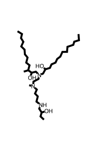 CCCCCCCCCCCCC(O)CN(CCN(C)CCCCNCC(O)CC)CC(O)C(C)CCCCCCCCCC